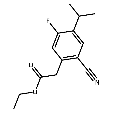 CCOC(=O)Cc1cc(F)c(C(C)C)cc1C#N